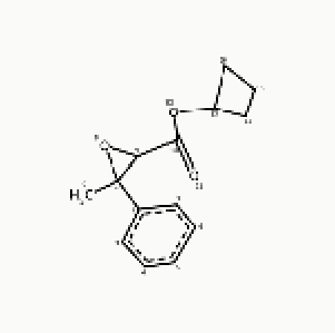 CC1(c2ccccc2)OC1C(=O)OC1CCC1